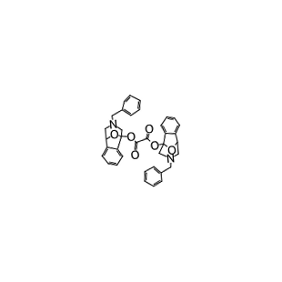 O=C(OC12CN(Cc3ccccc3)CC(O1)c1ccccc12)C(=O)OC12CN(Cc3ccccc3)CC(O1)c1ccccc12